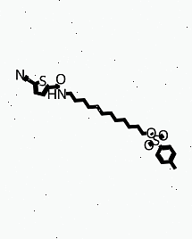 Cc1ccc(S(=O)(=O)OCCCCCCCCCCCCNC(=O)c2ccc(C#N)s2)cc1